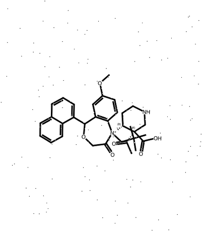 COc1ccc2c(c1)C(c1cccc3ccccc13)OCC(=O)[N+]2(CC(C)(C)C)[C@@H]1CCNC[C@@]1(C(C)=O)C(=O)O